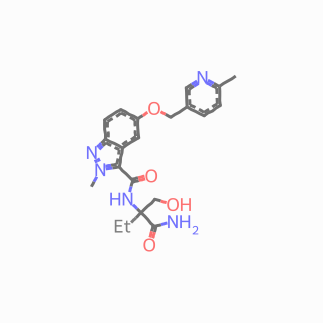 CCC(CO)(NC(=O)c1c2cc(OCc3ccc(C)nc3)ccc2nn1C)C(N)=O